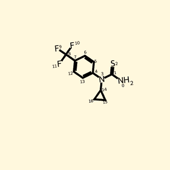 NC(=S)N(c1ccc(C(F)(F)F)cc1)C1CC1